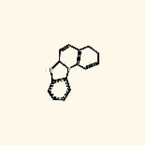 C1=CC2=C(C=CC3Nc4ccccc4N23)CC1